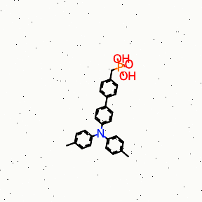 Cc1ccc(N(c2ccc(C)cc2)c2ccc(-c3ccc(CP(=O)(O)O)cc3)cc2)cc1